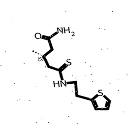 C[C@@H]([CH]C(=S)NCCc1cccs1)CC(N)=O